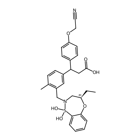 CC[C@@H]1CN(Cc2cc(C(CC(=O)O)c3ccc(OCC#N)cc3)ccc2C)S(O)(O)c2ccccc2O1